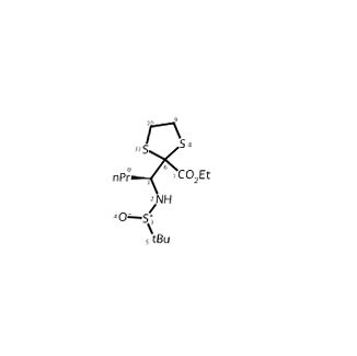 CCC[C@H](N[S+]([O-])C(C)(C)C)C1(C(=O)OCC)SCCS1